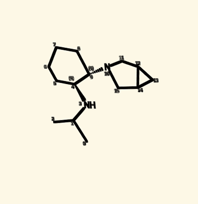 CC(C)N[C@H]1CCCC[C@@H]1N1CC2CC2C1